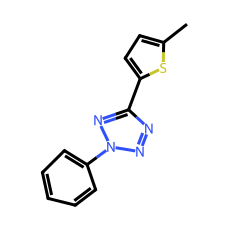 Cc1ccc(-c2nnn(-c3ccccc3)n2)s1